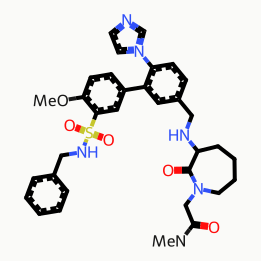 CNC(=O)CN1CCCCC(NCc2ccc(-n3ccnc3)c(-c3ccc(OC)c(S(=O)(=O)NCc4ccccc4)c3)c2)C1=O